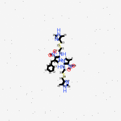 Cc1cn(-n2cc(Cc3ccccc3)c([N+](=O)[O-])c2NCCSCc2nc[nH]c2C)c(NCCSCc2nc[nH]c2C)c1[N+](=O)[O-]